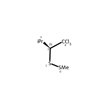 CSS[C@@H](C(C)C)C(Cl)(Cl)Cl